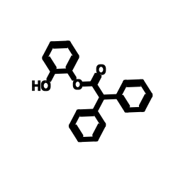 O=C(Oc1ccccc1O)C(c1ccccc1)c1ccccc1